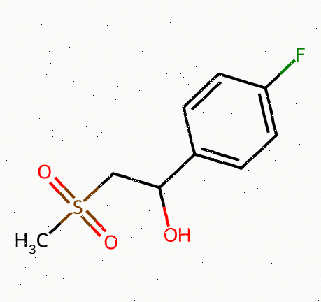 CS(=O)(=O)CC(O)c1ccc(F)cc1